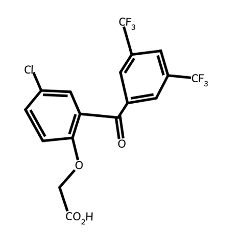 O=C(O)COc1ccc(Cl)cc1C(=O)c1cc(C(F)(F)F)cc(C(F)(F)F)c1